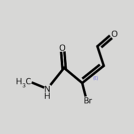 CNC(=O)/C(Br)=C\C=O